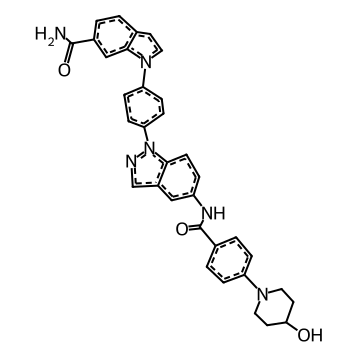 NC(=O)c1ccc2ccn(-c3ccc(-n4ncc5cc(NC(=O)c6ccc(N7CCC(O)CC7)cc6)ccc54)cc3)c2c1